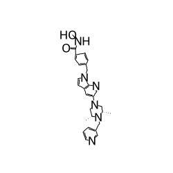 C[C@@H]1CN(c2cnc3c(ccn3Cc3ccc(C(=O)NO)cc3)c2)C[C@H](C)N1Cc1cccnc1